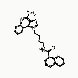 Nc1nc2ccccc2c2c1ncn2CCCCNC(=O)c1cccc2cccnc12